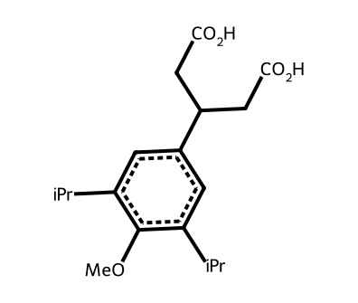 COc1c(C(C)C)cc(C(CC(=O)O)CC(=O)O)cc1C(C)C